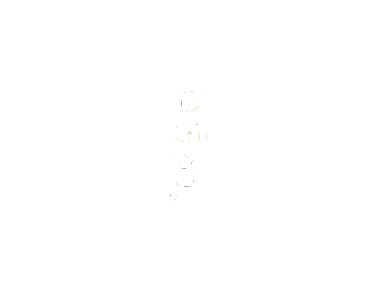 Cc1cc(C(C)(C)C)cc(S(=O)(=O)NC(=O)c2cc3c(F)cc(N4CCC4)cc3o2)c1C